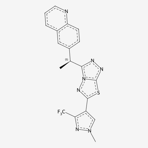 C[C@@H](c1ccc2ncccc2c1)c1nnc2sc(-c3cn(C)nc3C(F)(F)F)nn12